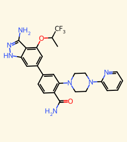 CC(Oc1cc(-c2ccc(C(N)=O)c(N3CCN(c4ccccn4)CC3)c2)cc2[nH]nc(N)c12)C(F)(F)F